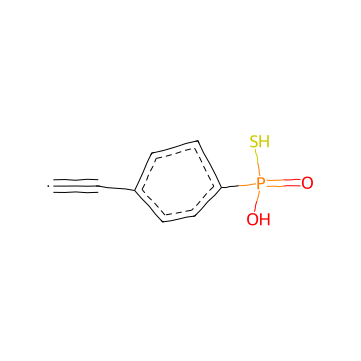 [C]#Cc1ccc(P(=O)(O)S)cc1